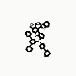 C=Cc1cc2oc3c(N(c4ccc(-c5ccccc5)cc4)c4cc(-c5ccccc5)cc(-c5ccccc5)c4)cccc3c2c(-c2nc3ccccc3o2)c1C=C